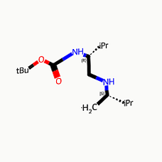 [CH2][C@H](NC[C@H](NC(=O)OC(C)(C)C)C(C)C)C(C)C